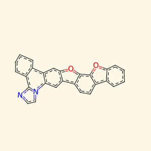 c1ccc2c(c1)oc1c2ccc2c3cc4c(cc3oc21)c1ccccc1c1nccn41